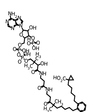 CC(C)(CCCCCc1ccccc1CCCCCC1(C(=O)O)CC1)C(=O)CCNC(=O)CCNC(=O)C(O)C(C)(C)COP(=O)(O)OP(=O)(O)OCC1OC(n2cnc3c(N)ncnc32)C(O)C1OP(=O)(O)O